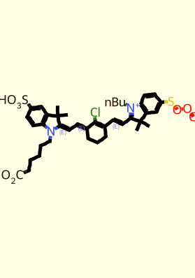 CCCC[N+]1=C(/C=C/C2=C(Cl)C(=C/C=C3/N(CCCCCC(=O)O)c4ccc(S(=O)(=O)O)cc4C3(C)C)/CCC2)C(C)(C)c2cc(SOO[O-])ccc21